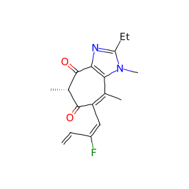 C=C/C(F)=C\C1=C(C)c2c(nc(CC)n2C)C(=O)[C@@H](C)C1=O